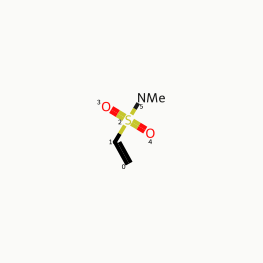 C=CS(=O)(=O)NC